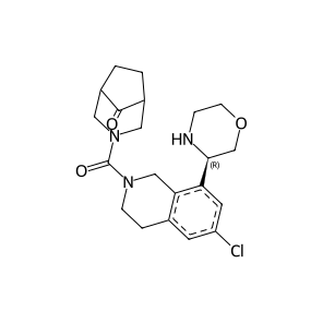 O=C1C2CCC1CN(C(=O)N1CCc3cc(Cl)cc([C@@H]4COCCN4)c3C1)C2